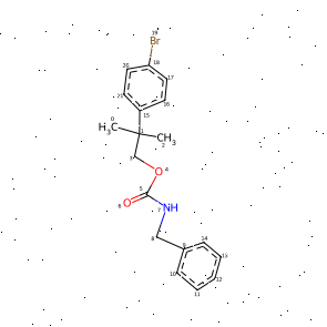 CC(C)(COC(=O)NCc1ccccc1)c1ccc(Br)cc1